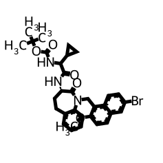 COc1ccc2cc(Br)ccc2c1CN1C(=O)[C@@H](NC(=O)C(NC(=O)OC(C)(C)C)C2CC2)CCc2ccccc21